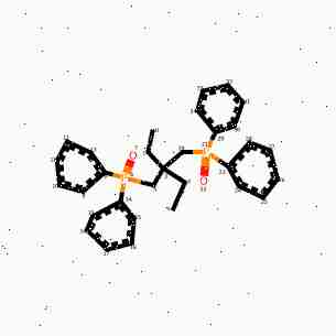 CCC(CC)(CP(=O)(c1ccccc1)c1ccccc1)CP(=O)(c1ccccc1)c1ccccc1